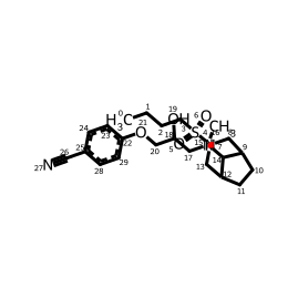 CCCCS(=O)(=O)N1CC2CCC(C1)C2N(C)CC(O)COc1ccc(C#N)cc1